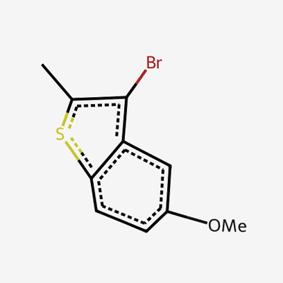 COc1ccc2sc(C)c(Br)c2c1